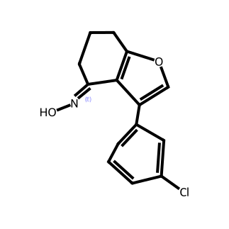 O/N=C1\CCCc2occ(-c3cccc(Cl)c3)c21